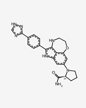 NC(=O)[C@@H]1CCCN1c1cc2c3c(c(-c4ccc(-c5nc[nH]n5)cc4)[nH]c3c1)NCCO2